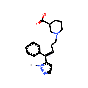 Cn1nccc1/C(=C/CCN1CCCC(C(=O)O)C1)c1ccccc1